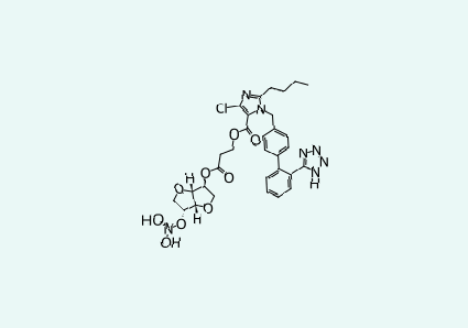 CCCCc1nc(Cl)c(C(=O)OCCC(=O)O[C@H]2CO[C@H]3[C@@H]2OC[C@H]3ON(O)O)n1Cc1ccc(-c2ccccc2-c2nnn[nH]2)cc1